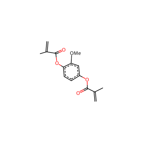 C=C(C)C(=O)Oc1ccc(OC(=O)C(=C)C)c(OC)c1